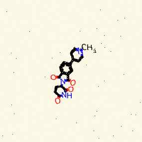 CN1CCC(c2ccc3c(c2)C(=O)N(C2CCC(=O)NC2=O)C3=O)CC1